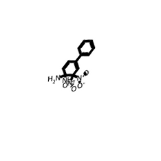 NC1(N)C=CC(c2ccccc2)=CC1([N+](=O)[O-])[N+](=O)[O-]